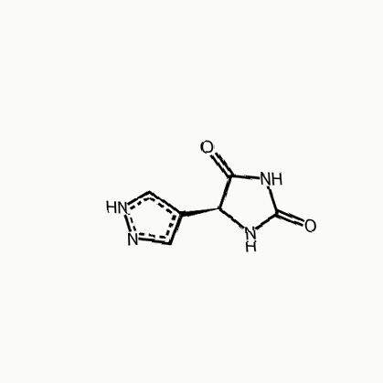 O=C1NC(=O)[C@H](c2cn[nH]c2)N1